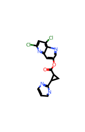 O=C(Oc1cnc2c(Cl)cc(Cl)nc2c1)C1CC1c1ncccn1